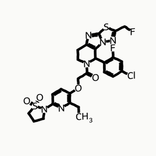 CCc1nc(N2CCCS2(=O)=O)ccc1OCC(=O)N1CCc2nc3sc(CF)nn3c2C1c1ccc(Cl)cc1F